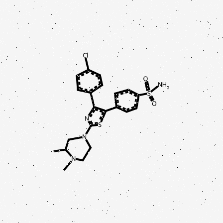 CC1CN(c2nc(-c3ccc(Cl)cc3)c(-c3ccc(S(N)(=O)=O)cc3)s2)CCN1C